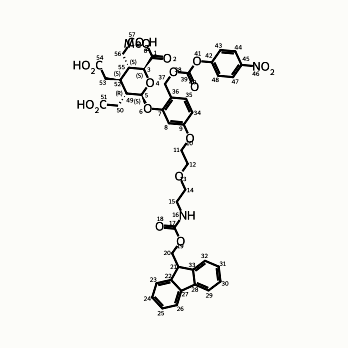 COC(=O)[C@H]1O[C@@H](Oc2cc(OCCOCCNC(=O)OCC3c4ccccc4-c4ccccc43)ccc2COC(=O)Oc2ccc([N+](=O)[O-])cc2)[C@H](CC(=O)O)[C@@H](CC(=O)O)[C@@H]1CC(=O)O